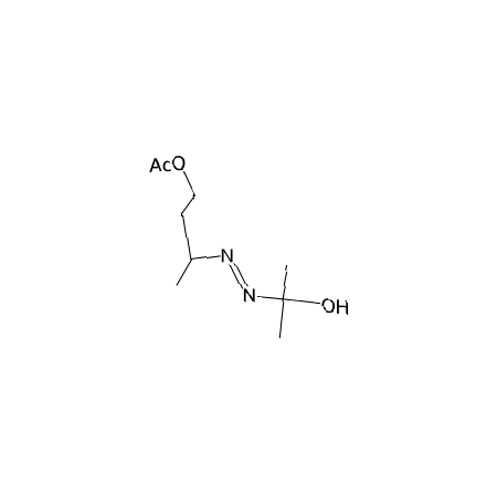 CC(=O)OCCC(C)N=NC(C)(C)O